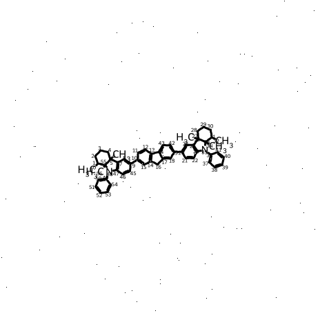 CC1CCCC2(C)c3cc(-c4ccc5c(c4)Cc4cc(-c6ccc7c(c6)C6(C)CCCC(C)C6(C)N7c6ccccc6)ccc4-5)ccc3N(c3ccccc3)C12C